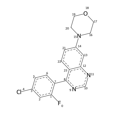 Fc1cc(Cl)[c]cc1-c1ncnc2cc(N3CCOCC3)ccc12